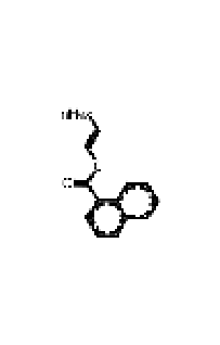 CCCCCCC=COC(=O)c1cccc2ccccc12